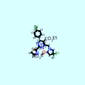 CCOC(=O)C1=C(CN2CC(F)(F)C[C@@H]2OC(=O)O)NC(c2nccs2)=N[C@H]1c1ccc(Br)cc1